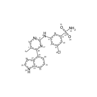 Cc1cnc(Nc2cc(Cl)cc(S(N)(=O)=O)c2)nc1-c1cccc2[nH]ccc12